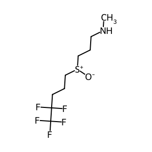 CNCCC[S+]([O-])CCCC(F)(F)C(F)(F)F